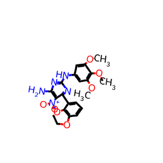 COc1cc(Nc2nc(N)c([N+](=O)[O-])c(-c3cccc4c3OCCO4)n2)cc(OC)c1OC